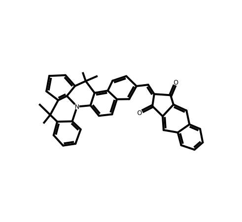 CC1(C)c2ccccc2N2c3ccc4cc(C=C5C(=O)c6cc7ccccc7cc6C5=O)ccc4c3C(C)(C)c3cccc1c32